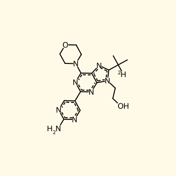 [2H]C(C)(C)c1nc2c(N3CCOCC3)nc(-c3cnc(N)nc3)nc2n1CCO